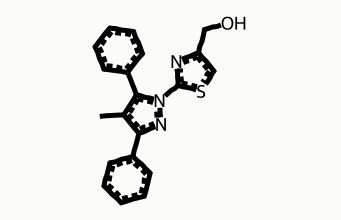 Cc1c(-c2ccccc2)nn(-c2nc(CO)cs2)c1-c1ccccc1